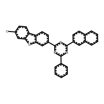 Clc1ccc2c(c1)oc1cc(-c3nc(-c4ccccc4)nc(-c4ccc5ccccc5c4)n3)ccc12